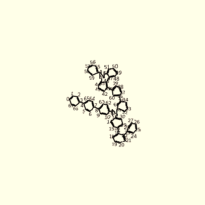 c1ccc(-c2ccc(-c3ccc(N(c4ccc(-c5ccccc5-c5ccccc5)cc4)c4cccc(-c5cccc(-c6cccc7c6c6ccccc6n7-c6ccccc6)c5)c4)cc3)cc2)cc1